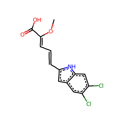 COC(=CC=Cc1cc2cc(Cl)c(Cl)cc2[nH]1)C(=O)O